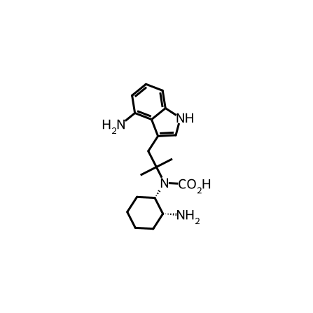 CC(C)(Cc1c[nH]c2cccc(N)c12)N(C(=O)O)[C@H]1CCCC[C@H]1N